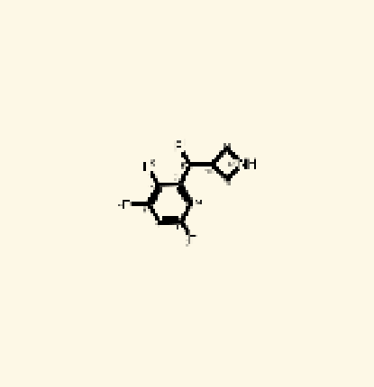 Fc1cc(F)c(F)c(C(F)C2CNC2)c1